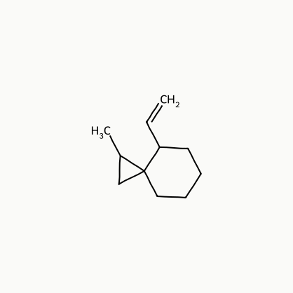 C=CC1CCCCC12CC2C